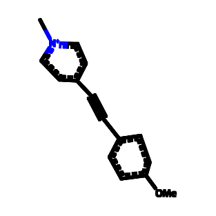 COc1ccc(C#Cc2cc[n+](C)cc2)cc1